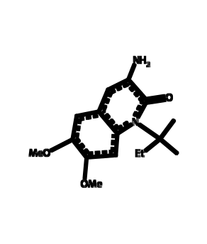 CCC(C)(C)n1c(=O)c(N)cc2cc(OC)c(OC)cc21